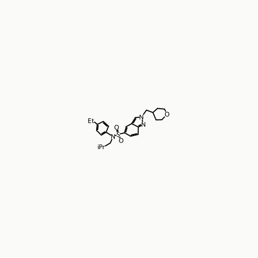 CCc1ccc(N(CC(C)C)S(=O)(=O)c2ccc3nn(CC4CCOCC4)cc3c2)cc1